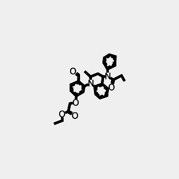 CCOC(=O)COc1ccc(C=O)c(N2c3ccccc3C(N(C(=O)CC)c3ccccc3)CC2C)c1